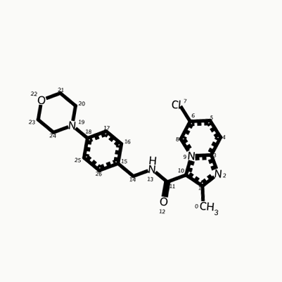 Cc1nc2ccc(Cl)cn2c1C(=O)NCc1ccc(N2CCOCC2)cc1